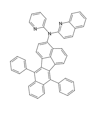 c1ccc(-c2c3c(c(-c4ccccc4)c4ccccc24)-c2ccc(N(c4ccccn4)c4ccc5ccccc5n4)c4cccc-3c24)cc1